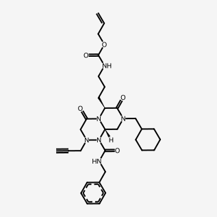 C#CCN1CC(=O)N2[C@@H](CCCNC(=O)OCC=C)C(=O)N(CC3CCCCC3)C[C@@H]2N1C(=O)NCc1ccccc1